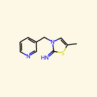 Cc1cn(Cc2cccnc2)c(=N)s1